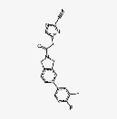 N#Cc1ncn(CC(=O)N2Cc3ccc(-c4ccc(F)c(F)c4)cc3C2)n1